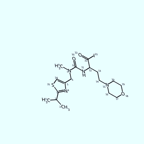 CC(C)c1nc(CN(C)C(=O)NC(CCN2CCOCC2)C(=O)I)cs1